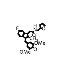 COC1=CC(=CC2=C(C)C(=CC(=O)NCc3ccco3)c3cc(F)ccc32)C=C(OC)C1=O